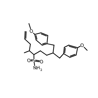 C=CCC(C)C(CCC(Cc1ccc(OC)cc1)Cc1ccc(OC)cc1)S(N)(=O)=O